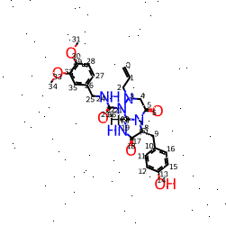 C=CCN1CC(=O)N2[C@@H](Cc3ccc(O)cc3)C(=O)N[C@@H]2N1C(=O)NCc1ccc(OC)c(OC)c1